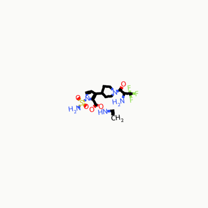 C=CNOC(=O)c1c(C2CCN(C(=O)C(N)C(F)(F)F)CC2)ccn1S(N)(=O)=O